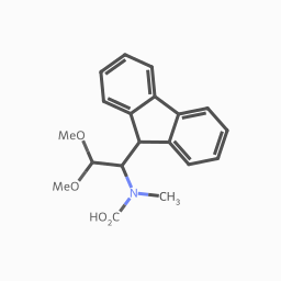 COC(OC)C(C1c2ccccc2-c2ccccc21)N(C)C(=O)O